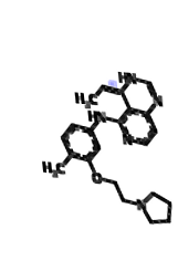 C/C=C1/NC=Nc2ccnc(Nc3ccc(C)c(OCCN4CCCC4)c3)c21